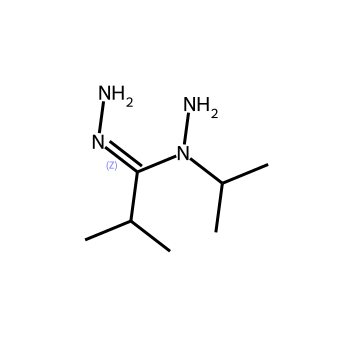 CC(C)/C(=N/N)N(N)C(C)C